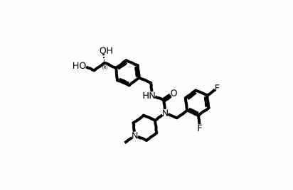 CN1CCC(N(Cc2ccc(F)cc2F)C(=O)NCc2ccc([C@@H](O)CO)cc2)CC1